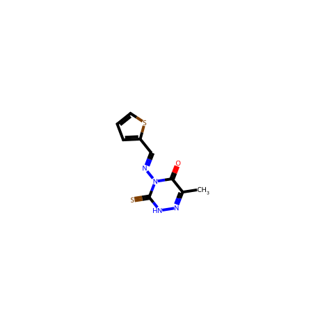 Cc1n[nH]c(=S)n(N=Cc2cccs2)c1=O